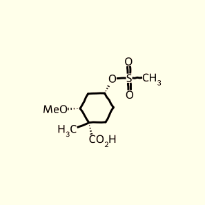 CO[C@@H]1C[C@H](OS(C)(=O)=O)CC[C@]1(C)C(=O)O